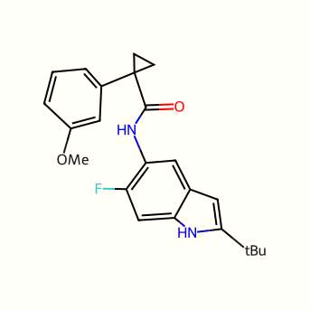 COc1cccc(C2(C(=O)Nc3cc4cc(C(C)(C)C)[nH]c4cc3F)CC2)c1